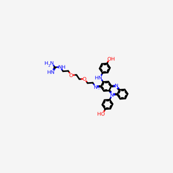 N=C(N)NCCOCCOCC/N=c1/cc2n(-c3ccc(O)cc3)c3ccccc3nc-2cc1Nc1ccc(O)cc1